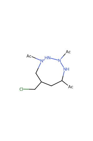 CC(=O)C1CC(CCl)CN(C(C)=O)NN(C(C)=O)N1